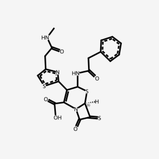 CNC(=O)Cc1csc(C2=C(C(=O)O)N3C(=O)C(=S)[C@@H]3SC2NC(=O)Cc2ccccc2)n1